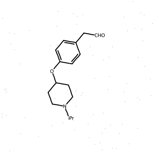 CC(C)N1CCC(Oc2ccc(CC=O)cc2)CC1